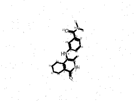 Cc1[nH]c(=O)c2c(c1Nc1cccc(C(=O)N(C)C)c1)CCCC2